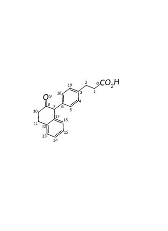 O=C(O)CCc1ccc(C2C(=O)CCc3ccccc32)cc1